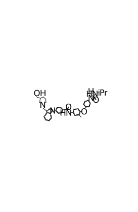 Cc1cc(NC(=O)c2ccc(-n3cc(CN4CCCC(CO)C4)c4ccccc43)cc2)ccc1Oc1ccc(NC(=O)NC(C)C)cc1